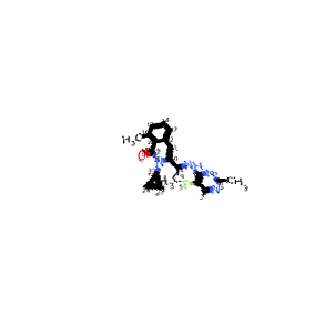 Cc1ncc(F)c(N[C@@H](C)c2cc3cccc(C)c3c(=O)n2C2CC2)n1